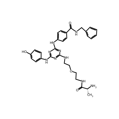 C[C@@H](N)C(=O)NCCOCCNc1nc(Nc2ccc(O)cc2)nc(Nc2ccc(C(=O)NCc3ccccc3)cc2)n1